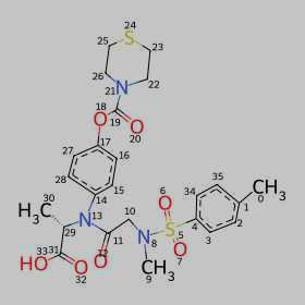 Cc1ccc(S(=O)(=O)N(C)CC(=O)N(c2ccc(OC(=O)N3CCSCC3)cc2)[C@@H](C)C(=O)O)cc1